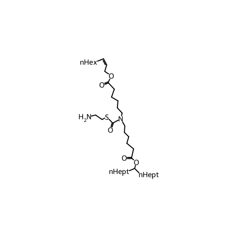 CCCCCC/C=C\COC(=O)CCCCCN(CCCCCC(=O)OC(CCCCCCC)CCCCCCC)C(=O)SCCN